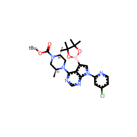 C[C@@H]1CN(c2ncnc3c2c(B2OC(C)(C)C(C)(C)O2)cn3-c2cc(Cl)ccn2)[C@@H](C)CN1C(=O)OC(C)(C)C